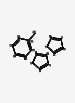 C1=CCC=C1.C1=CCC=C1.Cc1ccccc1